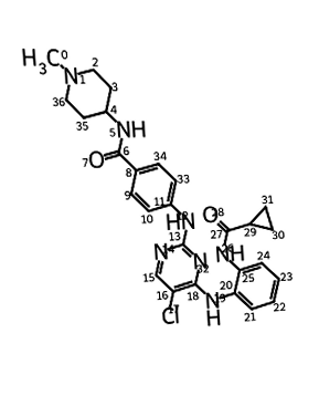 CN1CCC(NC(=O)c2ccc(Nc3ncc(Cl)c(Nc4ccccc4NC(=O)C4CC4)n3)cc2)CC1